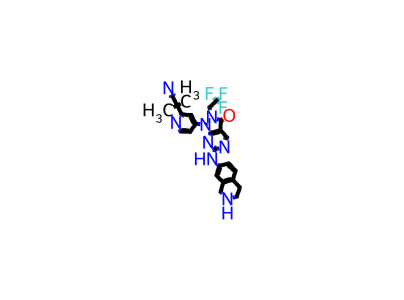 CC(C)(C#N)c1cc(-n2c3nc(Nc4ccc5c(c4)CNCC5)ncc3c(=O)n2CC(F)(F)F)ccn1